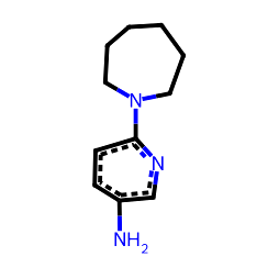 Nc1ccc(N2CCCCCC2)nc1